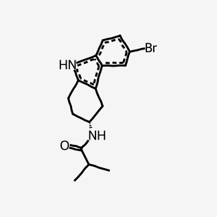 CC(C)C(=O)N[C@@H]1CCc2[nH]c3ccc(Br)cc3c2C1